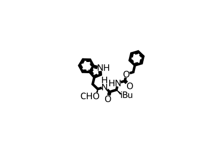 CCC(C)[C@H](NC(=O)OCc1ccccc1)C(=O)N[C@@H](C=O)Cc1c[nH]c2ccccc12